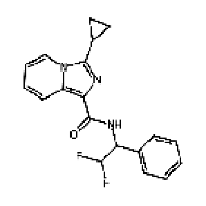 O=C(NC(c1ccccc1)C(F)F)c1nc(C2CC2)n2ccccc12